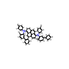 Cc1ccc(N(C2=c3ccc4ccc(N(c5ccc(C)cc5)c5cc(-c6ccccc6)ccc5C)c5ccc(c3c45)CC2)c2cc(-c3ccccc3)ccc2C)cc1